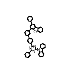 c1ccc(-c2cc(-c3cccc(-c4ccc(-c5nc(-c6ccccc6)nc(-n6c7ccccc7c7ccccc76)n5)cc4)c3)c3oc4ccccc4c3c2)cc1